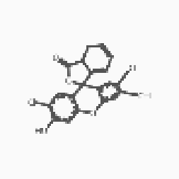 O=C1OC2(C3=CC=CCC13)c1cc(Cl)c(O)cc1Oc1cc(O)c(Cl)cc12